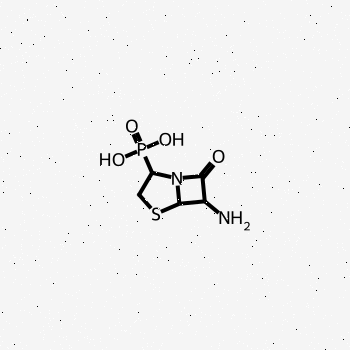 NC1C(=O)N2C1SCC2P(=O)(O)O